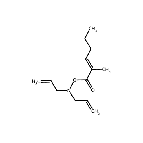 C=CCN(CC=C)OC(=O)C(C)=CCCC